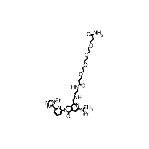 CCn1cnnc1-c1cccc(N2Cc3c(cc(N(C)C(C)C)nc3CNCCNC(=O)CCOCCOCCOCCOCCC(N)=O)C2=O)n1